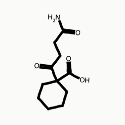 NC(=O)CCC(=O)C1(C(=O)O)CCCCC1